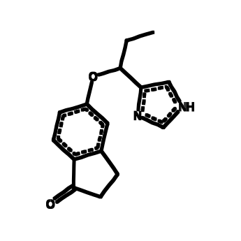 CCC(Oc1ccc2c(c1)CCC2=O)c1c[nH]cn1